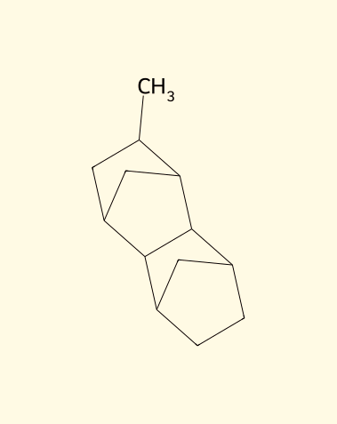 CC1CC2CC1C1C3CCC(C3)C21